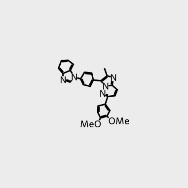 COc1ccc(-c2ccc3nc(C)c(-c4ccc(-n5cnc6ccccc65)cc4)n3n2)cc1OC